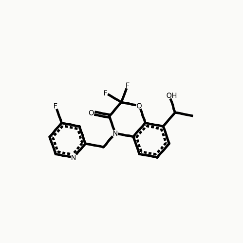 CC(O)c1cccc2c1OC(F)(F)C(=O)N2Cc1cc(F)ccn1